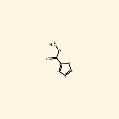 COC(=O)C1=CC=CC1